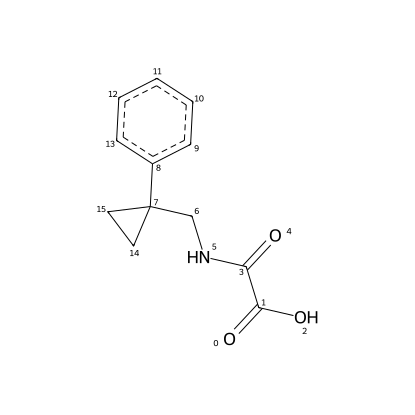 O=C(O)C(=O)NCC1(c2ccccc2)CC1